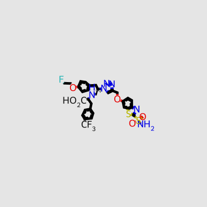 NS(=O)(=O)c1nc2ccc(OCc3cn([C@@H](CNC(Cc4ccc(C(F)(F)F)cc4)C(=O)O)Cc4ccc(OCCF)cc4)nn3)cc2s1